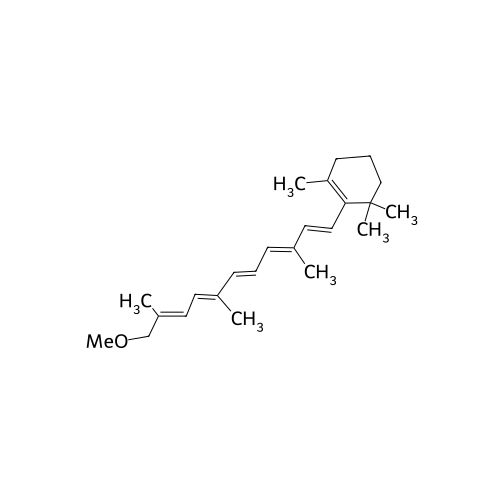 COC/C(C)=C/C=C(C)/C=C/C=C(C)/C=C/C1=C(C)CCCC1(C)C